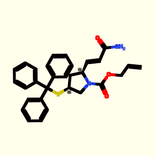 C=CCOC(=O)N1C[C@@H](SC(c2ccccc2)(c2ccccc2)c2ccccc2)C[C@H]1C=CC(N)=O